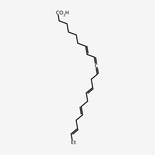 CC/C=C/C/C=C/C/C=C/CC=C=C/C=C/CCCCCC(=O)O